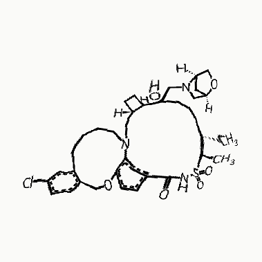 C[C@@H]1[C@@H](C)CCC[C@](O)(CN2C[C@H]3C[C@@H]2CO3)[C@@H]2CC[C@H]2CN2CCCCc3cc(Cl)ccc3COc3ccc(cc32)C(=O)NS1(=O)=O